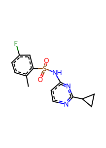 Cc1ccc(F)cc1S(=O)(=O)Nc1ccnc(C2CC2)n1